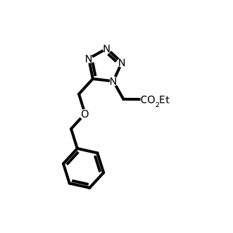 CCOC(=O)Cn1nnnc1COCc1ccccc1